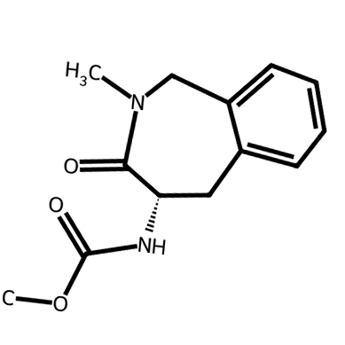 COC(=O)N[C@H]1Cc2ccccc2CN(C)C1=O